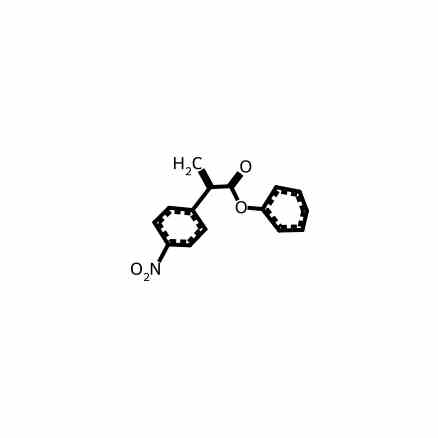 C=C(C(=O)Oc1ccccc1)c1ccc([N+](=O)[O-])cc1